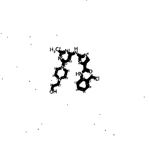 Cc1nc(Nc2ncc(C(=O)Nc3ccccc3CCl)s2)cc(N2CCN(CCO)CC2)n1